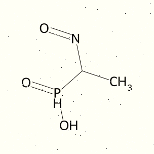 CC(N=O)[PH](=O)O